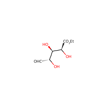 CCOC(=O)[C@@H](O)[C@H](O)[C@H](O)C=O